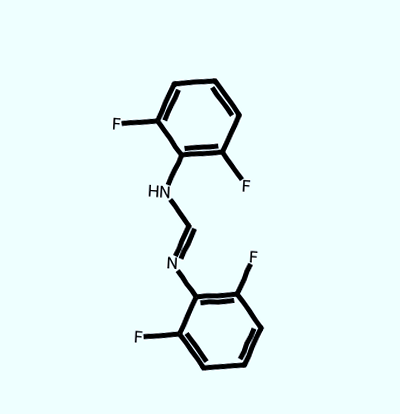 Fc1cccc(F)c1/N=C/Nc1c(F)cccc1F